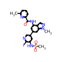 Cc1cccc(C(=O)Nc2cc(-c3cnc(I)c(NS(C)(=O)=O)c3)cc3c2cnn3C)n1